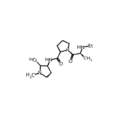 CCN[C@@H](C)C(=O)N1CCCC1C(=O)NC1CCN(C)C1O